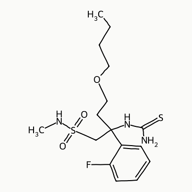 CCCCOCCC(CS(=O)(=O)NC)(NC(N)=S)c1ccccc1F